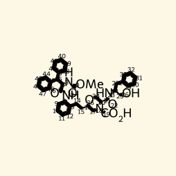 COC(=O)N[C@H](C(=O)Nc1ccccc1CC[C@@H]1CN(C(=O)O)[C@H](C(=O)N[C@H](CO)Cc2ccccc2)CO1)C(c1ccccc1)c1ccccc1